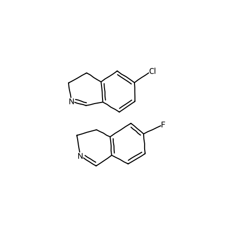 Clc1ccc2c(c1)CCN=C2.Fc1ccc2c(c1)CCN=C2